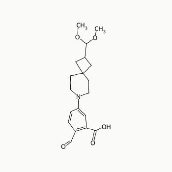 COC(OC)C1CC2(CCN(c3ccc(C=O)c(C(=O)O)c3)CC2)C1